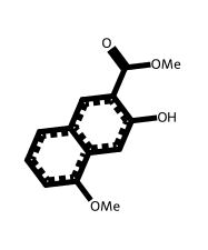 COC(=O)c1cc2cccc(OC)c2cc1O